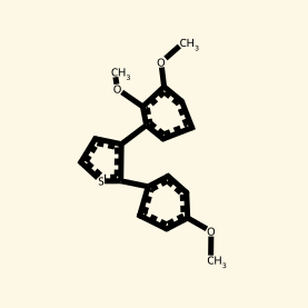 COc1ccc(-c2sccc2-c2cccc(OC)c2OC)cc1